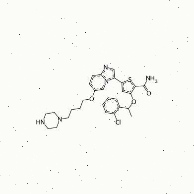 CC(Oc1cc(-c2cnc3ccc(OCCCCN4CCNCC4)cn23)sc1C(N)=O)c1ccccc1Cl